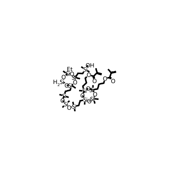 C=C(C)C(=O)OCCC[Si]1(C)O[Si](C)(C)O[Si](C)(CC[Si](C)(C)O[Si](C)(C)O[Si](C)(C)CC[Si]2(C)O[SiH2]O[Si](C)(CC)O[Si](C)(CC[Si](C)(C)O)O2)O[Si](C)(CCCOC(=O)C(=C)C)O1